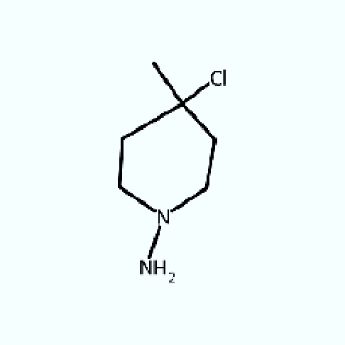 CC1(Cl)CCN(N)CC1